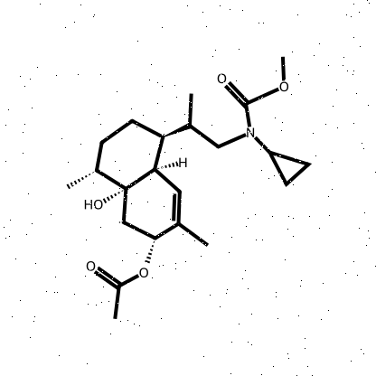 COC(=O)N(CC(C)[C@@H]1CC[C@@H](C)[C@]2(O)[CH][C@@H](OC(C)=O)C(C)=C[C@H]12)C1CC1